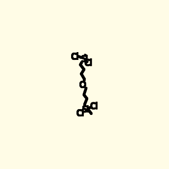 C[Si](Cl)(Cl)CCCCOCCCC[Si](C)(Cl)Cl